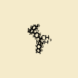 C[C@@H](c1nc2cc3ccccc3cc2[nH]1)C1CCC(c2ccnc3ccc(F)cc23)CC1